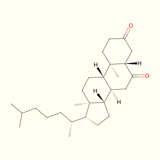 CC(C)CCC[C@@H](C)[C@H]1CC[C@H]2[C@@H]3CC(=O)[C@H]4CC(=O)CC[C@]4(C)[C@H]3CC[C@]12C